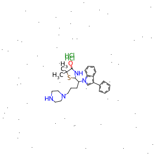 CC1(C)SC(C(CCCN2CCNCC2)n2cc(-c3ccccc3)c3ccccc32)NC1=O.Cl.Cl